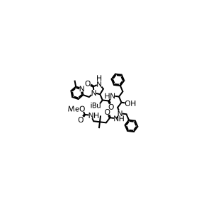 CCC(C)C(C(=O)NC(Cc1ccccc1)C(O)CN(Cc1ccccc1)NC(=O)CC(C)(C)CNC(=O)OC)C1CNC(=O)N1Cc1cccc(C)n1